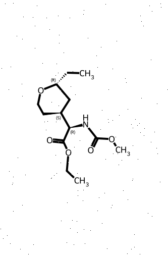 CCOC(=O)[C@H](NC(=O)OC)[C@H]1CCO[C@H](CC)C1